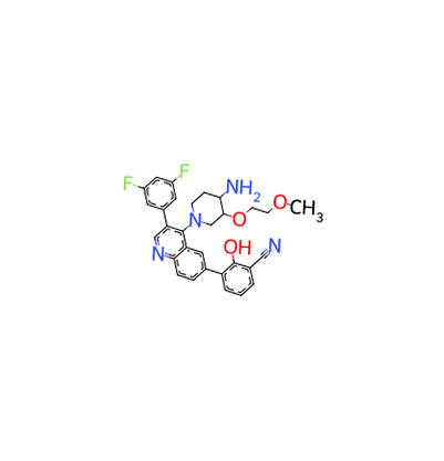 COCCOC1CN(c2c(-c3cc(F)cc(F)c3)cnc3ccc(-c4cccc(C#N)c4O)cc23)CCC1N